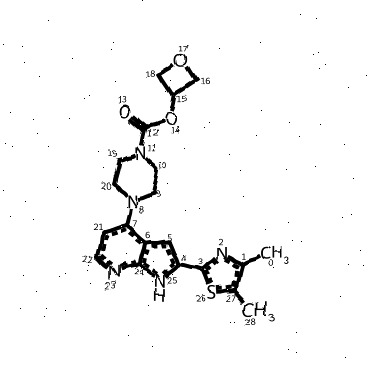 Cc1nc(-c2cc3c(N4CCN(C(=O)OC5COC5)CC4)ccnc3[nH]2)sc1C